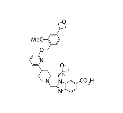 COc1cc(C2COC2)ccc1COc1cccc(C2CCN(Cc3nc4ccc(C(=O)O)cc4n3C[C@@H]3CCO3)CC2)n1